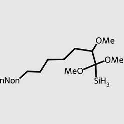 CCCCCCCCCCCCCCC(OC)C([SiH3])(OC)OC